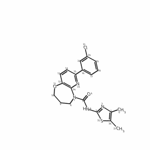 Cc1nc(NC(=O)N2CCCOc3ccc(-c4cccc(Cl)c4)nc32)sc1C